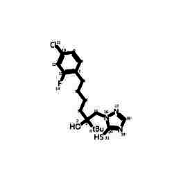 CC(C)(C)C(O)(CCCCc1ccc(Cl)cc1F)Cn1ncnc1S